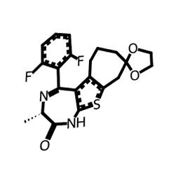 C[C@@H]1N=C(c2c(F)cccc2F)c2c(sc3c2CCCC2(C3)OCCO2)NC1=O